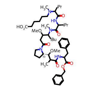 CCC(C)C(C(CC(=O)N1CCC[C@H]1C(OC)C(C)C(=O)NC(Cc1ccccc1)C(=O)OCc1ccccc1)OC)N(C)C(=O)C(NC(=O)C(C(C)C)N(C)CCCCCC(=O)O)C(C)C